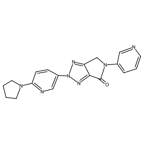 O=C1c2nn(-c3ccc(N4CCCC4)nc3)nc2CN1c1cccnc1